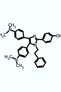 CN(C)c1ccc(-c2nc(-c3ccc(O)cc3)n(CCc3ccccc3)c2-c2ccc(N(C)C)cc2)cc1